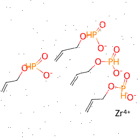 C=CCO[PH](=O)[O-].C=CCO[PH](=O)[O-].C=CCO[PH](=O)[O-].C=CCO[PH](=O)[O-].[Zr+4]